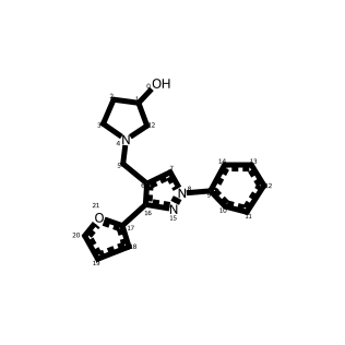 OC1CCN(Cc2cn(-c3ccccc3)nc2-c2ccco2)C1